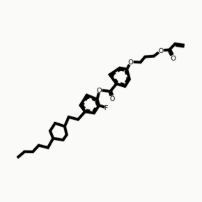 C=CC(=O)OCCCOc1ccc(C(=O)Oc2ccc(CCC3CCC(CCCCC)CC3)cc2F)cc1